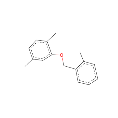 Cc1ccc(C)c(OCc2ccccc2C)c1